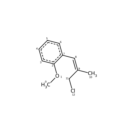 COc1ccccc1C=C(C)CCl